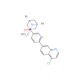 O=C(O)N1C[C@H]2C[C@@H](C1)N2C(=O)c1ccc(-c2ccc3c(Cl)ccnc3c2)c(F)c1